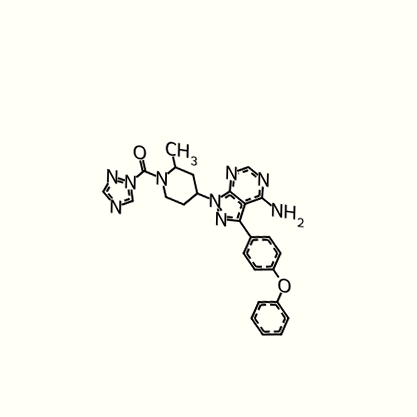 CC1CC(n2nc(-c3ccc(Oc4ccccc4)cc3)c3c(N)ncnc32)CCN1C(=O)n1cncn1